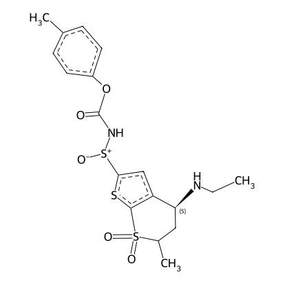 CCN[C@H]1CC(C)S(=O)(=O)c2sc([S+]([O-])NC(=O)Oc3ccc(C)cc3)cc21